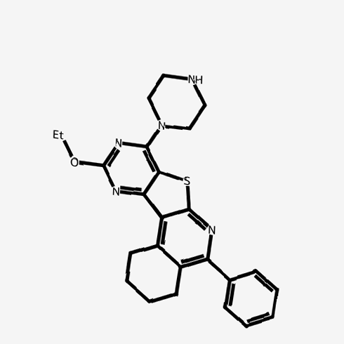 CCOc1nc(N2CCNCC2)c2sc3nc(-c4ccccc4)c4c(c3c2n1)CCCC4